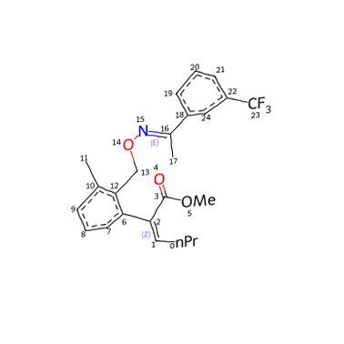 CCC/C=C(\C(=O)OC)c1cccc(C)c1CO/N=C(\C)c1cccc(C(F)(F)F)c1